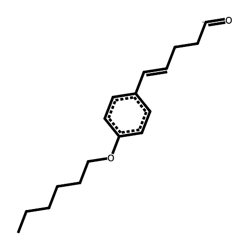 CCCCCCOc1ccc(C=CCC[C]=O)cc1